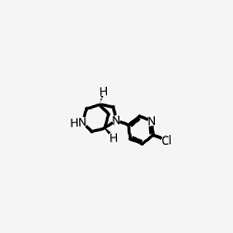 Clc1ccc(N2C[C@@H]3CNC[C@@H]2C3)cn1